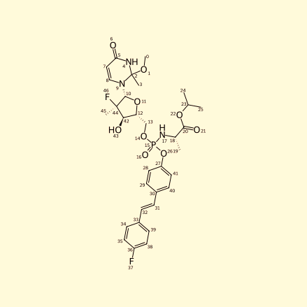 COC1(C)NC(=O)C=CN1[C@@H]1O[C@H](COP(=O)(N[C@@H](C)C(=O)OC(C)C)Oc2ccc(/C=C/c3ccc(F)cc3)cc2)[C@@H](O)[C@@]1(C)F